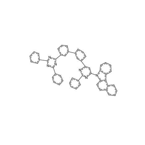 c1ccc(-c2nc(-c3cccc(-c4cccc(-c5nc(-c6ccccc6)nc(-c6ccccc6)n5)c4)c3)cc(-n3c4ccccc4c4c5ccccc5ccc43)n2)cc1